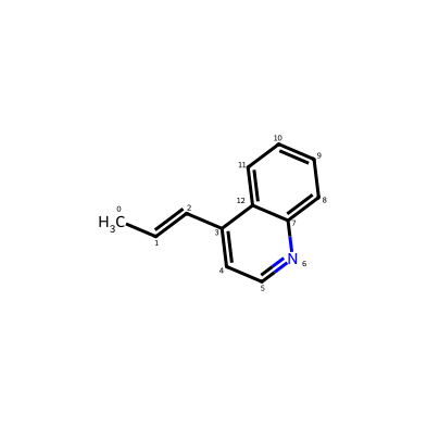 CC=Cc1ccnc2ccccc12